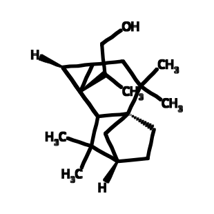 CC(CO)[C@@]12C3CC(C)(C)[C@@]45CC[C@@H](C4)C(C)(C)C15[C@@H]32